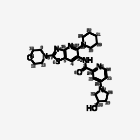 O=C(Nc1cc2sc(N3CCOCC3)nc2nc1N1CCCCC1)c1cc(N2CCC(O)C2)ccn1